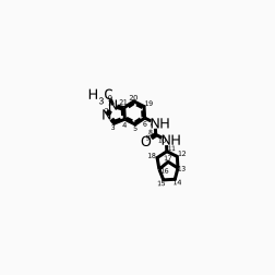 Cn1ncc2cc(NC(=O)NC3CC4CCC(C4)C3)ccc21